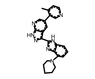 Cc1ccncc1-c1cnc2[nH]nc(-c3nc4c(N5CCCCC5)cccc4[nH]3)c2c1